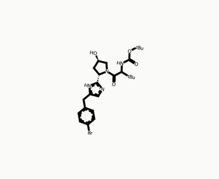 CC(C)(C)OC(=O)NC(C(=O)N1C[C@H](O)C[C@H]1c1ncc(Cc2ccc(Br)cc2)[nH]1)C(C)(C)C